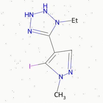 CCN1NNN=C1c1cnn(C)c1I